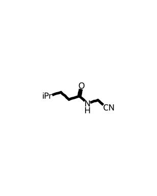 CC(C)CCC(=O)NCC#N